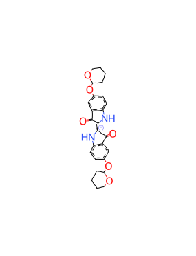 O=C1/C(=C2\Nc3ccc(OC4CCCCO4)cc3C2=O)Nc2ccc(OC3CCCCO3)cc21